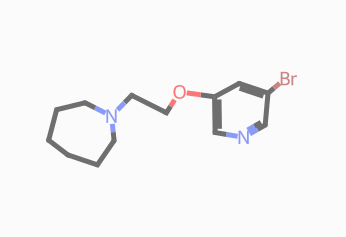 Brc1cncc(OCCN2CCCCCC2)c1